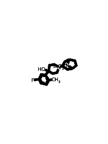 CCOC(=O)N1C2CCC1CC(N1CCC(O)(c3cc(F)ccc3C)CC1)C2